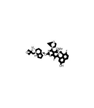 C#Cc1c(F)ccc2cc(O)cc(-c3nc(OC)c4c(N5CCOC6CC65)nc(OC[C@]56CCC[C@H]5N(CC5(C)COC5)CCC6)nc4c3F)c12